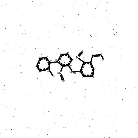 C=Nc1c(/C=C\C)cccc1Nc1cccc(-c2ccccc2C)c1N=C